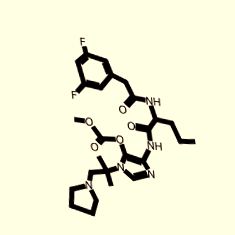 CCCC(NC(=O)Cc1cc(F)cc(F)c1)C(=O)Nc1ncn(C(C)(C)CN2CCCC2)c1OC(=O)OC